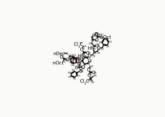 CCCCCCCCCCC[C@H](CC(=O)NO[C@@H]1[C@@H](NC(=O)OCC(Cl)(Cl)Cl)[C@H](OC[C@H](COCc2ccccc2)NC(=O)C[C@@H](CCCCCCCCCCC)OC(=O)CCCCCCCC)O[C@H](COC(=O)OC(C)(C)C(Cl)(Cl)Cl)[C@H]1OP(=O)(Oc1ccccc1)Oc1ccccc1)OC(=O)CCCCCCCC